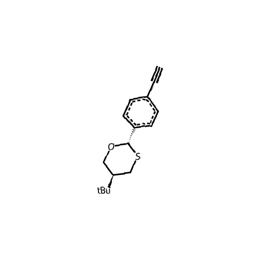 C#Cc1ccc([C@H]2OC[C@H](C(C)(C)C)CS2)cc1